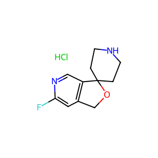 Cl.Fc1cc2c(cn1)C1(CCNCC1)OC2